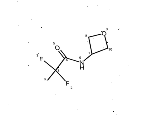 CC(F)(F)C(=O)NC1COC1